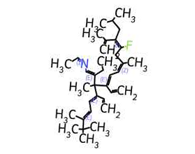 C=C/C(=C\C=C(\C)C/C(F)=C(/CC(C)C)C(=C)C)C(C)(/C(C=C)=C/C=C(\C)C(C)(C)C)/C(=C/N=C\C)CC